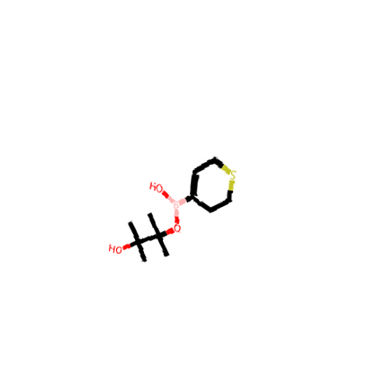 CC(C)(O)C(C)(C)OB(O)C1=CCSCC1